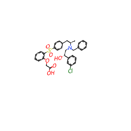 C[C@H](Cc1ccc(S(=O)(=O)c2ccccc2OCC(=O)O)cc1)N(Cc1ccccc1)C[C@@H](O)c1cccc(Cl)c1